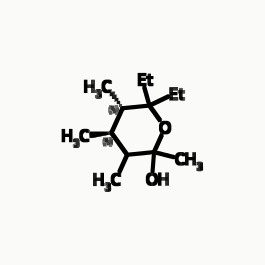 CCC1(CC)OC(C)(O)C(C)[C@@H](C)[C@@H]1C